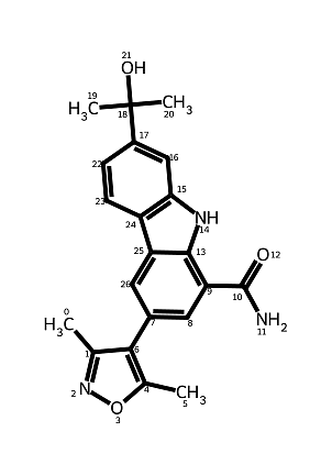 Cc1noc(C)c1-c1cc(C(N)=O)c2[nH]c3cc(C(C)(C)O)ccc3c2c1